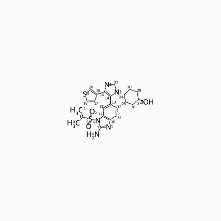 CC(C)S(=O)(=O)n1c(N)nc2ccc(-c3c(-c4ccsc4)ncn3[C@H]3CC[C@H](O)CC3)cc21